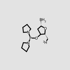 [2H]C[C@H]1O[C@@H](B)CC1OP(N1CCCC1)N1CCCC1